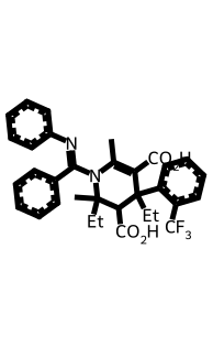 CCC1(c2ccccc2C(F)(F)F)C(C(=O)O)=C(C)N(C(=Nc2ccccc2)c2ccccc2)C(C)(CC)C1C(=O)O